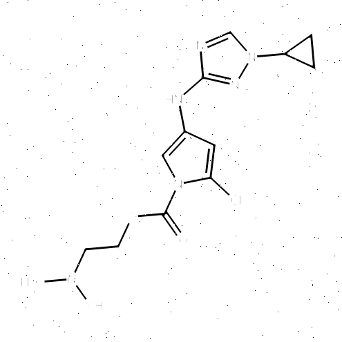 Cc1cc(Nc2ncn(C3CC3)n2)cn1C(=O)OCCN(C)C